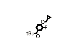 CC(C)(C)C(=O)c1ccc(OCC2CC2)c(F)c1